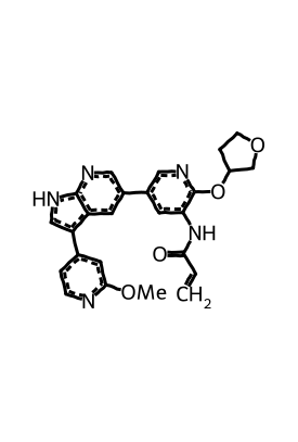 C=CC(=O)Nc1cc(-c2cnc3[nH]cc(-c4ccnc(OC)c4)c3c2)cnc1OC1CCOC1